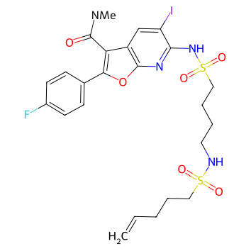 C=CCCCS(=O)(=O)NCCCCS(=O)(=O)Nc1nc2oc(-c3ccc(F)cc3)c(C(=O)NC)c2cc1I